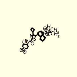 CC(C)(C)NS(=O)(=O)c1ccc(-c2sc(C(=O)NC3CCS(=O)(=O)CC3)nc2C2CCC2)c2ccccc12